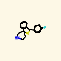 Fc1ccc(C2SC3(CCNCC3)c3ccccc32)cc1